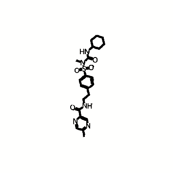 Cc1cnc(C(=O)NCCc2ccc(S(=O)(=O)N(C)C(=O)NC3CCCCC3)cc2)cn1